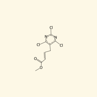 COC(=O)/C=C/Cc1c(Cl)nc(Cl)nc1Cl